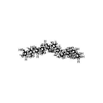 COCC1O[C@@H](O[C@H]2C(OC)C(OC)[C@@H](O[C@H]3C(OC)C(OC)[C@H](O[C@@H]4C(CO)O[C@@H](O[C@@H]5C(C(=O)O)O[C@@H](O[C@H]6C(O)C(O)[C@@H](O[C@H]7C(OC)C(OC)[C@@H](O[C@@H]8C(CO)O[C@H](OC)C(O)[C@H]8C)O[C@H]7C(=O)O)O[C@H]6CO)C(OC)[C@H]5OC)C(N=[N+]=[N-])[C@H]4OC)O[C@H]3COC)O[C@H]2COC)C(OC)[C@@H](OC)[C@@H]1O[C@@H]1OC(CO)[C@@H](O[C@@H]2O[C@@H](CO)[C@@H](O[C@H]3O[C@@H](CO)C(O)C(O)C3O)C(O)C2O)[C@H](OC)C1OC